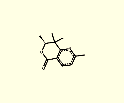 Cc1ccc2c(n1)C(C)(C)[C@H](C)OC2=O